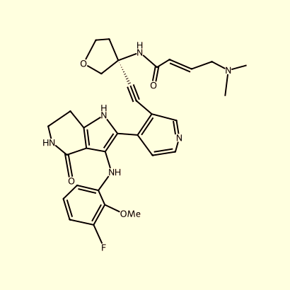 COc1c(F)cccc1Nc1c(-c2ccncc2C#C[C@@]2(NC(=O)/C=C/CN(C)C)CCOC2)[nH]c2c1C(=O)NCC2